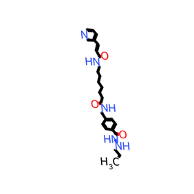 CCCNNC(=O)c1ccc(CNC(=O)CCCCCCCNC(=O)/C=C/c2cccnc2)cc1